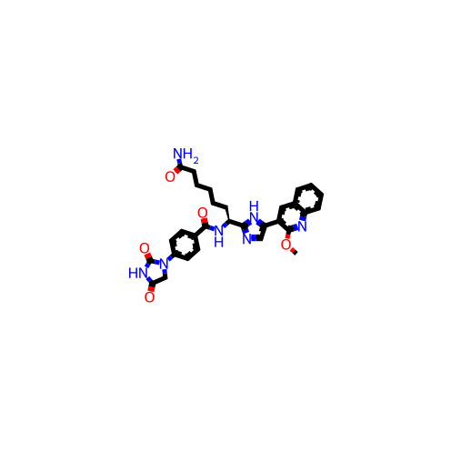 COc1nc2ccccc2cc1-c1cnc([C@H](CCCCCC(N)=O)NC(=O)c2ccc(N3CC(=O)NC3=O)cc2)[nH]1